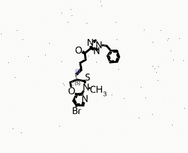 CN1C(=S)[C@@H](/C=C/CCC(=O)c2ncn(Cc3ccccc3)n2)COc2cc(Br)cnc21